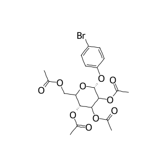 CC(=O)OCC1O[C@H](Oc2ccc(Br)cc2)C(OC(C)=O)C(OC(C)=O)[C@@H]1OC(C)=O